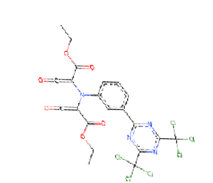 CCOC(=O)C(=C=O)N(C(=C=O)C(=O)OCC)c1cccc(-c2nc(C(Cl)(Cl)Cl)nc(C(Cl)(Cl)Cl)n2)c1